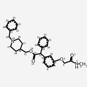 CNC(=O)COc1cccc(C(C(=O)OCC2CCN(Cc3ccccc3)CC2)c2ccccc2)c1